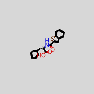 O=C(N[C@@H](Cc1ccccc1)C(=O)O)c1cc2ccccc2s1